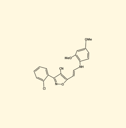 COc1ccc(NC=Cc2onc(-c3ccccc3Cl)c2C#N)c(OC)c1